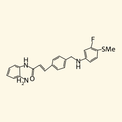 CSc1ccc(NCc2ccc(C=CC(=O)Nc3ccccc3N)cc2)cc1F